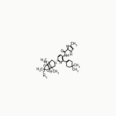 Cc1c[nH]c(C(=O)Nc2ccc([C@H]3C[C@@]4(C)O[C@@](C)(C3)[C@@H]3OC(C)(C)O[C@@H]34)nc2C2=CCC(C)(C)CC2)n1